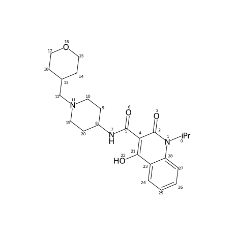 CC(C)n1c(=O)c(C(=O)NC2CCN(CC3CCOCC3)CC2)c(O)c2ccccc21